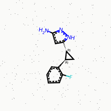 Nc1cc([C@@H]2C[C@H]2c2ccccc2F)[nH]n1